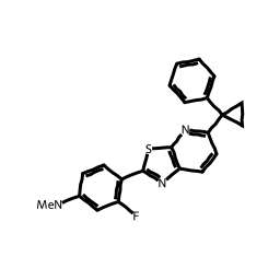 CNc1ccc(-c2nc3ccc(C4(c5ccccc5)CC4)nc3s2)c(F)c1